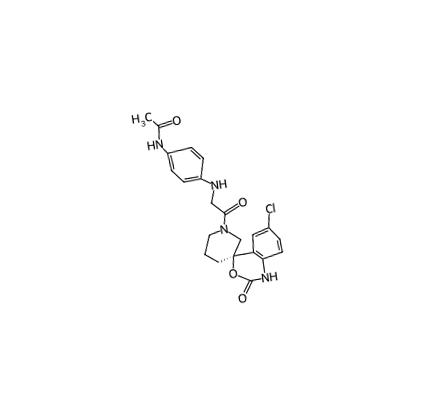 CC(=O)Nc1ccc(NCC(=O)N2CCC[C@@]3(C2)OC(=O)Nc2ccc(Cl)cc23)cc1